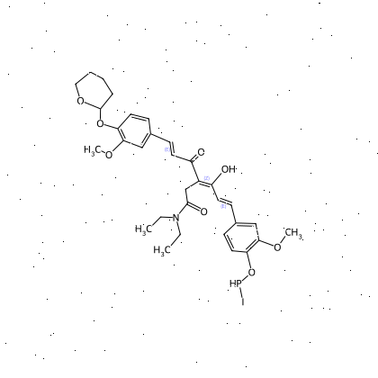 CCN(CC)C(=O)C/C(C(=O)/C=C/c1ccc(OC2CCCCO2)c(OC)c1)=C(O)\C=C\c1ccc(OPI)c(OC)c1